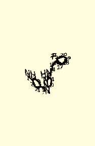 NCc1ccc(-c2cnc3ccc(NCCc4ccccc4F)nn23)cc1